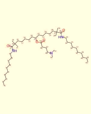 CCCCCCCCCCNC(=O)C(C)(C)CCCCCC(CCCCCC(C)(C)C(=O)NCCCCCCCCCC)OC(=O)CCCN(C)C